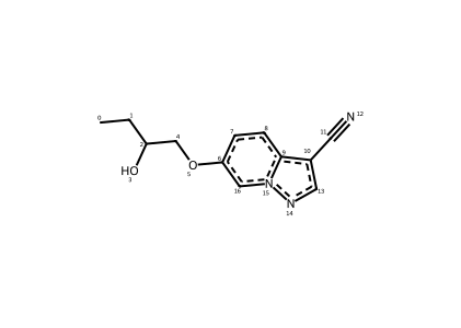 CCC(O)COc1ccc2c(C#N)cnn2c1